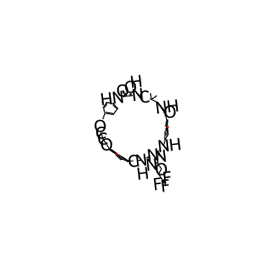 CC1(C)CNC(=O)C(=O)Nc2ccc(cc2)OCCOc2ccc(cc2)CNc2nc(nc(OCC(F)(F)F)n2)Nc2ccc(cc2)C(=O)NC1